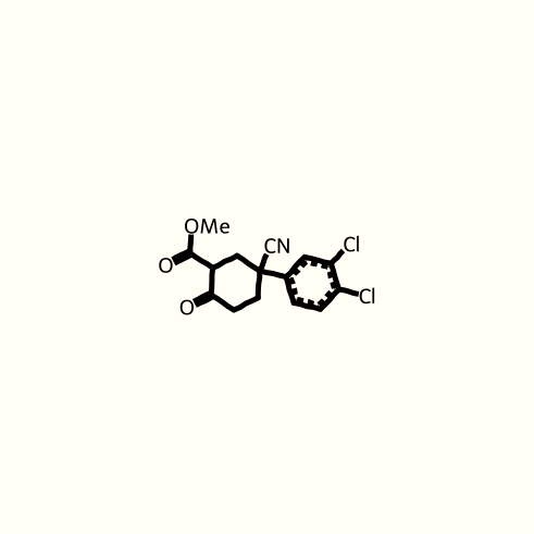 COC(=O)C1CC(C#N)(c2ccc(Cl)c(Cl)c2)CCC1=O